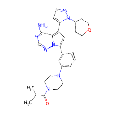 CC(C)C(=O)N1CCN(c2cccc(-c3cc(-c4ccnn4C4CCOCC4)c4c(N)ncnn34)c2)CC1